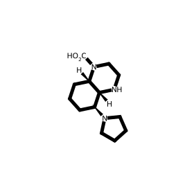 O=C(O)N1CCN[C@@H]2[C@@H](N3CCCC3)CCC[C@@H]21